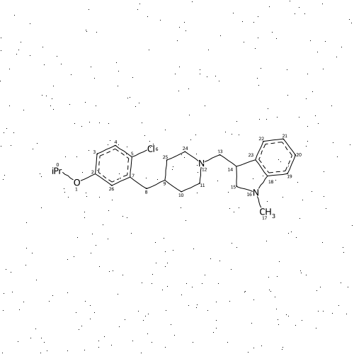 CC(C)Oc1ccc(Cl)c(CC2CCN(CC3CN(C)c4ccccc43)CC2)c1